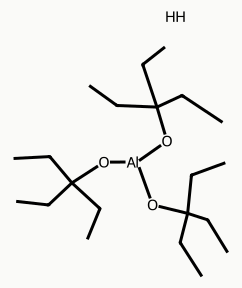 CCC(CC)(CC)[O][Al]([O]C(CC)(CC)CC)[O]C(CC)(CC)CC.[HH]